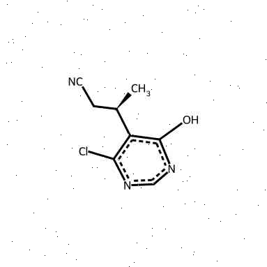 C[C@H](CC#N)c1c(O)ncnc1Cl